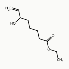 C=CC(O)CCCCC(=O)OCC